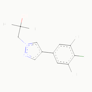 Cc1cc(-c2cnn(CC(C)(C)O)c2)cc(C)c1Br